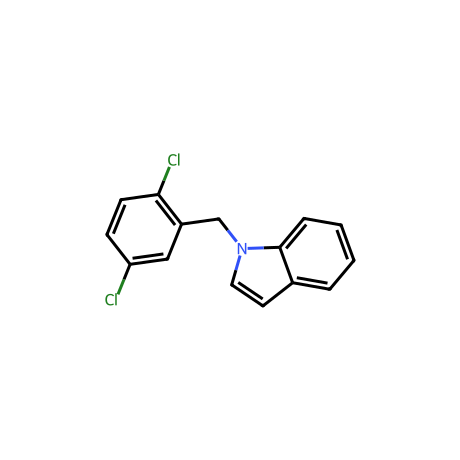 Clc1ccc(Cl)c(Cn2ccc3ccccc32)c1